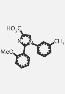 COc1ccccc1-c1nc(C(=O)O)cn1-c1cccc(C)c1